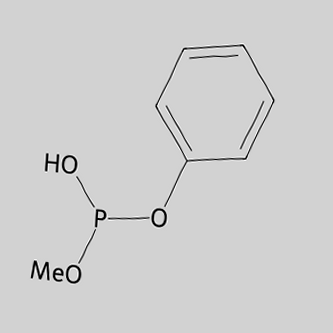 COP(O)Oc1ccccc1